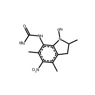 CCCN1c2c(c(C)c([N+](=O)[O-])c(C)c2NC(=O)C(C)(C)C)CC1C